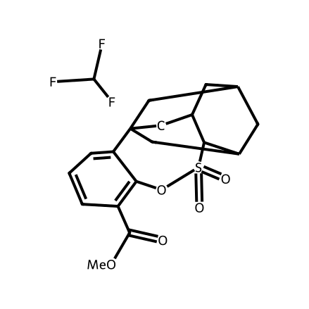 COC(=O)c1cccc2c1OS(=O)(=O)C1C3CC4CC1CC2(C4)C3.FC(F)F